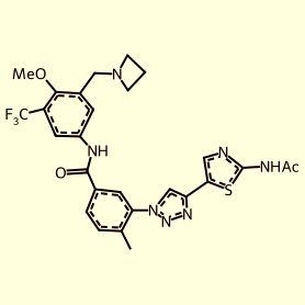 COc1c(CN2CCC2)cc(NC(=O)c2ccc(C)c(-n3cc(-c4cnc(NC(C)=O)s4)nn3)c2)cc1C(F)(F)F